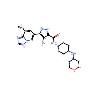 Cc1cc(-c2[nH]nc(C(=O)N[C@H]3CC[C@H](NC4CCOCC4)CC3)c2C(C)C)cn2ncnc12